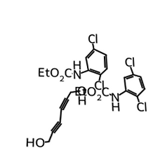 CCOC(=O)Nc1cc(Cl)ccc1Cl.CCOC(=O)Nc1cc(Cl)ccc1Cl.OCC#CC#CCO